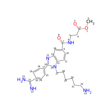 COC(=O)CCNC(=O)c1ccc2c(c1)nc(-c1ccc(C(=N)N)cc1)n2CCCCCCN